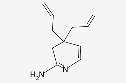 C=CCC1(CC=C)C=CN=C(N)C1